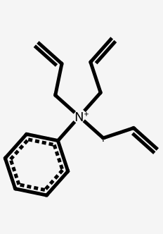 C=C[CH][N+](CC=C)(CC=C)c1ccccc1